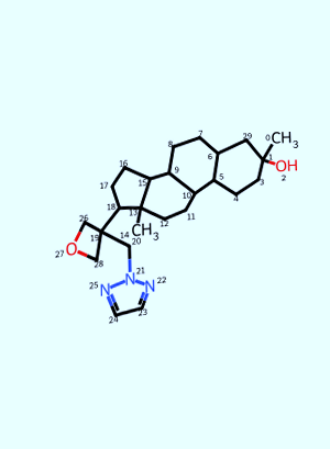 CC1(O)CCC2C(CCC3C2CCC2(C)C3CCC2C2(Cn3nccn3)COC2)C1